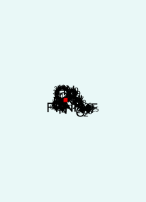 Nc1nn2cc(F)cnc2c1C(=O)NC1C(N2CCC(C(=O)N3CC(F)C3)CC2)CCNC12CCCCCCCCCC2